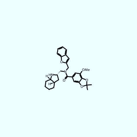 COc1cc(C(=O)N(Cc2cc3ccccc3o2)C[C@@H]2C[C@@H]3CCCC[C@@H]3N2)cc2c1OC(C)(C)O2